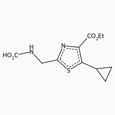 CCOC(=O)c1nc(CNC(=O)O)sc1C1CC1